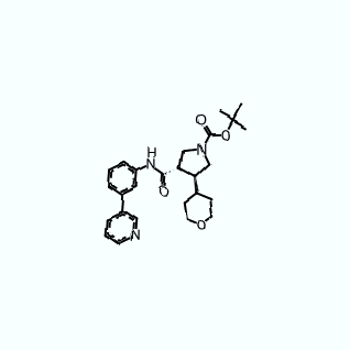 CC(C)(C)OC(=O)N1C[C@@H](C(=O)Nc2cccc(-c3cccnc3)c2)[C@H](C2CCOCC2)C1